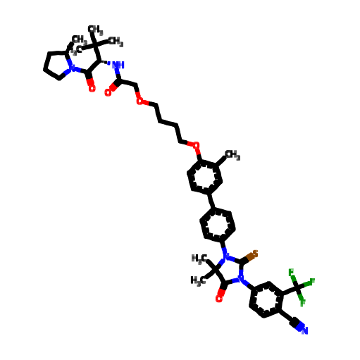 Cc1cc(-c2ccc(N3C(=S)N(c4ccc(C#N)c(C(F)(F)F)c4)C(=O)C3(C)C)cc2)ccc1OCCCCOCC(=O)N[C@H](C(=O)N1CCC[C@H]1C)C(C)(C)C